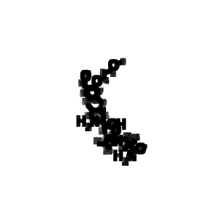 COCCCOc1cc(C[C@@H](C[C@H](N)[C@@H](O)C[C@H](C(=O)NCC(C)(C)C(N)=O)C(C)C)C(C)C)ccc1C=O